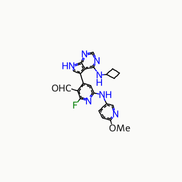 COc1ccc(Nc2cc(-c3c[nH]c4ncnc(NC5CCC5)c34)c(C=O)c(F)n2)cn1